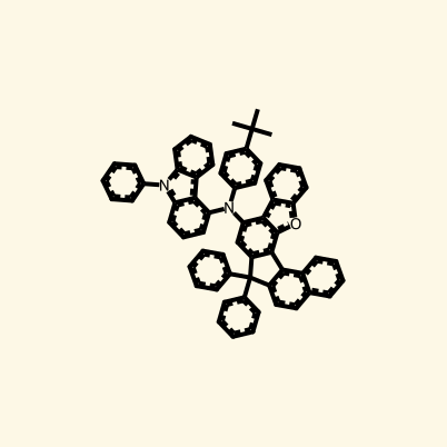 CC(C)(C)c1ccc(N(c2cc3c(c4oc5ccccc5c24)-c2c(ccc4ccccc24)C3(c2ccccc2)c2ccccc2)c2cccc3c2c2ccccc2n3-c2ccccc2)cc1